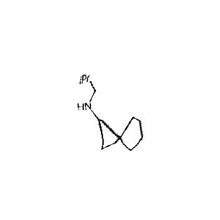 CC(C)CNC1CC12CCC2